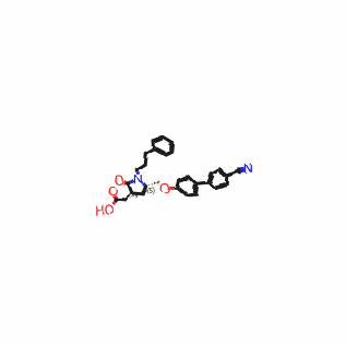 N#Cc1ccc(-c2ccc(OC[C@@H]3C[C@@H](CC(=O)O)C(=O)N3CCCc3ccccc3)cc2)cc1